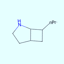 CC[CH]C1CC2CCNC12